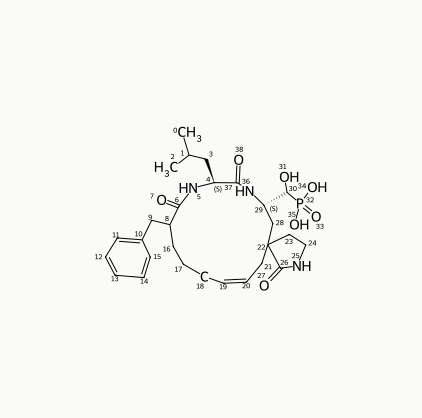 CC(C)C[C@@H]1NC(=O)C(Cc2ccccc2)CCCC=CCC2(CCNC2=O)C[C@@H](C(O)P(=O)(O)O)NC1=O